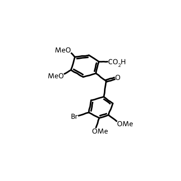 COc1cc(C(=O)O)c(C(=O)c2cc(Br)c(OC)c(OC)c2)cc1OC